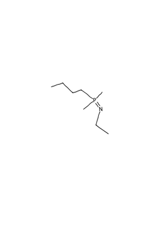 CCCCP(C)(C)=NCC